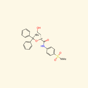 CNS(=O)(=O)c1ccc(NC(=O)[C@@H](CCO)O[Si](c2ccccc2)(c2ccccc2)C(C)(C)C)cc1